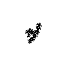 C=CCOc1c(C(C)(C)C)cccc1[Si](C)(C)C1c2cc(-c3ccc(C(C)(C)C)cc3)ccc2-c2ccc(-c3ccc(C(C)(C)C)cc3)cc21